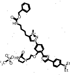 CCN(CC)c1ccc(-c2csc(-c3ccc(-n4cc(CCCCNC(=O)OCc5ccccc5)[n+](C)n4)cc3OCCN3CCNC3=O)n2)cc1.O=S(=O)([O-])C(F)(F)F